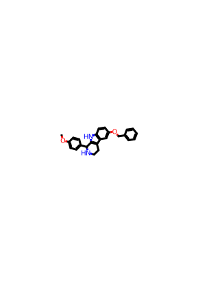 COc1ccc(C2NCCc3c2[nH]c2ccc(OCc4ccccc4)cc32)cc1